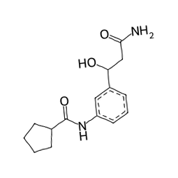 NC(=O)CC(O)c1cccc(NC(=O)C2CCCC2)c1